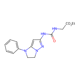 CCOC(=O)CNC(=O)Nc1cc2n(n1)CCN2c1ccccc1